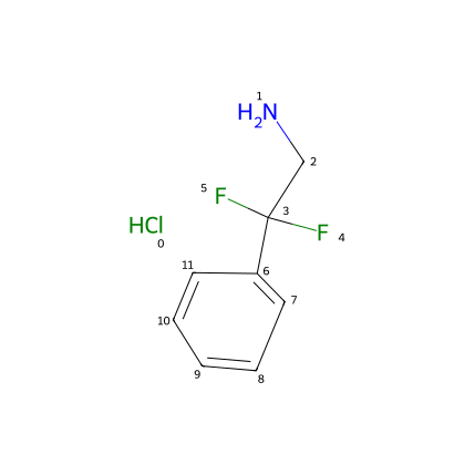 Cl.NCC(F)(F)c1ccccc1